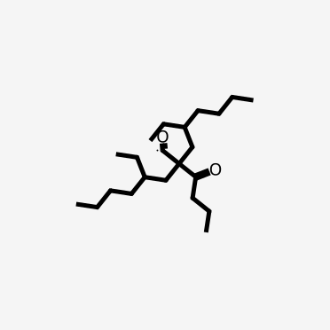 CCCCC(CC)CC([C]=O)(CC(CC)CCCC)C(=O)CCC